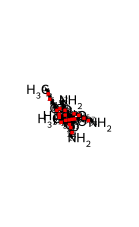 CCCCCCCCOC(=O)CC[C@@H](C)C1CC[C@H]2C3[C@H](OC(=O)CCCN)CC4CC(OC(=O)CCCN)CCC4(C)[C@H]3C[C@H](OC(=O)CCCN)C12C